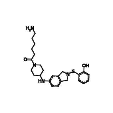 NCCCCCC(=O)N1CCC(Nc2ccc3c(c2)CN(Sc2ccccc2O)C3)CC1